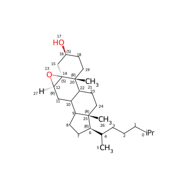 CC(C)CCCC(C)[C@H]1CCC2C3C[C@H]4O[C@]45C[C@@H](O)CC[C@]5(C)C3CC[C@@]21C